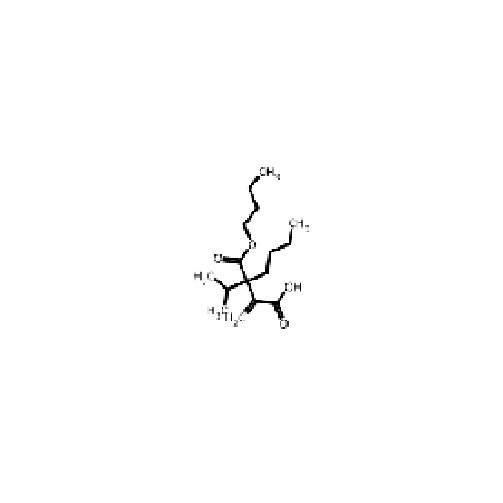 C=C(C(=O)O)C(CCCC)(C(=O)OCCCC)C(C)C